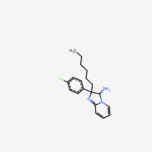 CCCCCCC1(c2ccc(F)cc2)N=C2C=CC=CN2C1N